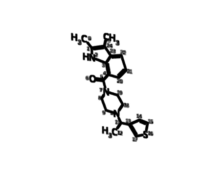 Cc1[nH]c2c(C(=O)N3CCN(C(C)c4ccsc4)CC3)cccc2c1C